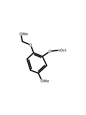 CCCCCCCCOc1cc(OC)ccc1OCOC